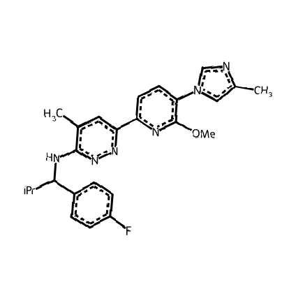 COc1nc(-c2cc(C)c(NC(c3ccc(F)cc3)C(C)C)nn2)ccc1-n1cnc(C)c1